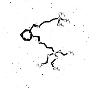 CCO[Si](CCC/N=C/c1ccccc1/C=N/CCC[Si](C)(C)C)(OCC)OCC